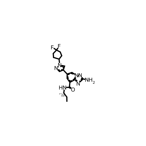 CC[C@H](C)NC(=O)c1cc(-c2cnn(C3CCC(F)(F)CC3)c2)cn2nc(N)nc12